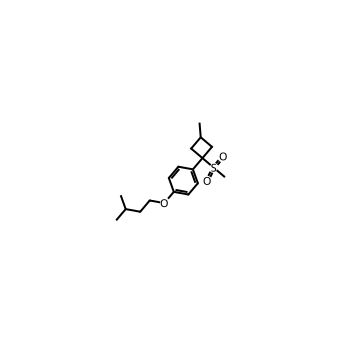 CC(C)CCOc1ccc(C2(S(C)(=O)=O)CC(C)C2)cc1